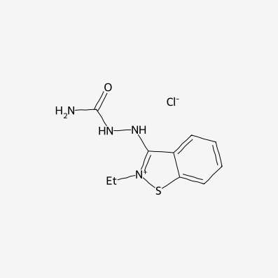 CC[n+]1sc2ccccc2c1NNC(N)=O.[Cl-]